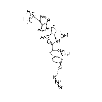 CN(C)c1ncnc2c1ncn2[C@@H]1O[C@H](CO)[C@@H](NC(=O)[C@H](Cc2ccc(OCCN=[N+]=[N-])cc2)NC(=O)O)[C@H]1O